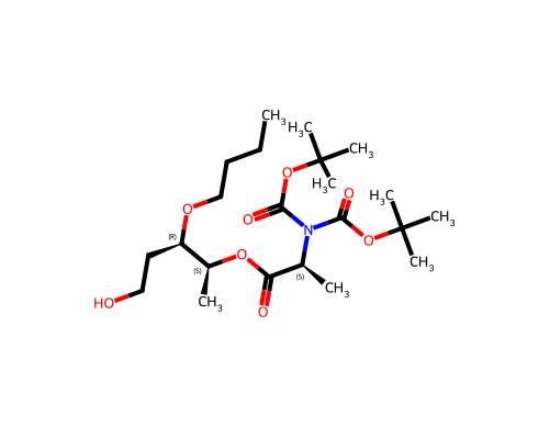 CCCCO[C@H](CCO)[C@H](C)OC(=O)[C@H](C)N(C(=O)OC(C)(C)C)C(=O)OC(C)(C)C